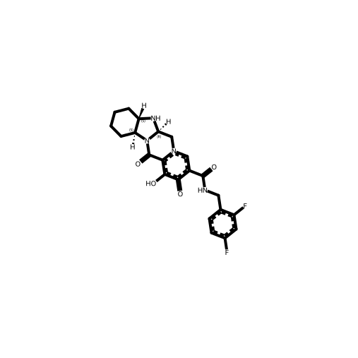 O=C(NCc1ccc(F)cc1F)c1cn2c(c(O)c1=O)C(=O)N1[C@H](C2)N[C@H]2CCCC[C@@H]21